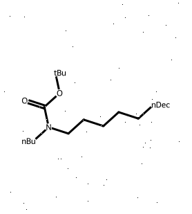 CCCCCCCCCCCCCCCN(CCCC)C(=O)OC(C)(C)C